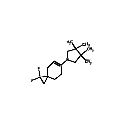 CC1(C)CB(C2=CCC3(CC2)CC3(F)F)CC1(C)C